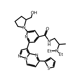 CCN(CC)C(C)CNC(=O)c1cc(-c2cnn3ccc(-c4cccs4)nc23)nc(N2CCCC2CO)c1